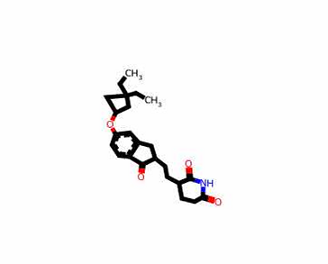 CCC1(CC)CC(Oc2ccc3c(c2)CC(CCC2CCC(=O)NC2=O)C3=O)C1